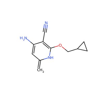 C=C1C=C(N)C(C#N)=C(OCC2CC2)N1